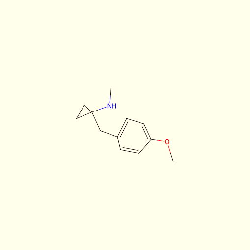 CNC1(Cc2ccc(OC)cc2)CC1